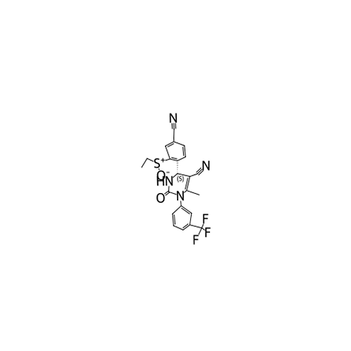 CC[S+]([O-])c1cc(C#N)ccc1[C@H]1NC(=O)N(c2cccc(C(F)(F)F)c2)C(C)=C1C#N